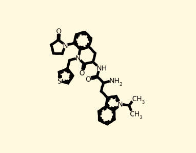 CC(C)n1cc(CC(N)C(=O)NC2Cc3cccc(N4CCCC4=O)c3N(Cc3ccsc3)C2=O)c2ccccc21